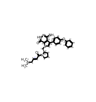 CN(C)C/C=C/C(=O)N1CCC[C@@H]1Cn1cc(-c2ccc(Oc3ccccc3)cc2)c2c(N)n[nH]c(=O)c21